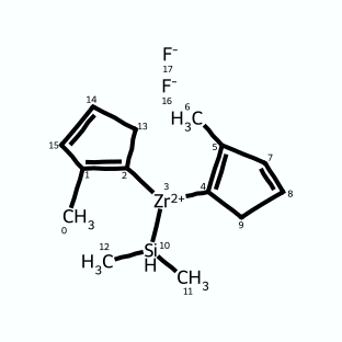 CC1=[C]([Zr+2]([C]2=C(C)C=CC2)[SiH](C)C)CC=C1.[F-].[F-]